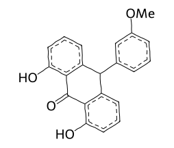 COc1cccc(C2c3cccc(O)c3C(=O)c3c(O)cccc32)c1